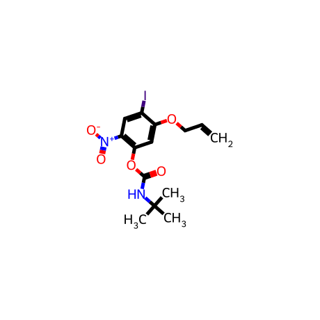 C=CCOc1cc(OC(=O)NC(C)(C)C)c([N+](=O)[O-])cc1I